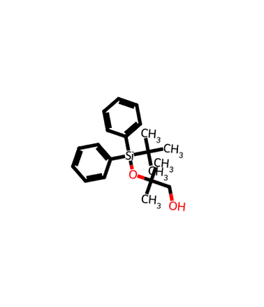 CC(C)(CO)O[Si](c1ccccc1)(c1ccccc1)C(C)(C)C